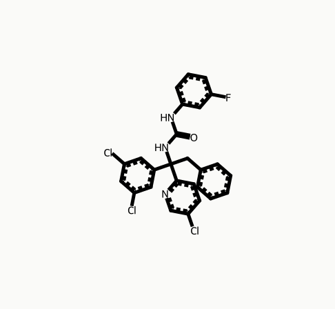 O=C(Nc1cccc(F)c1)NC(Cc1ccccc1)(c1cc(Cl)cc(Cl)c1)c1ccc(Cl)cn1